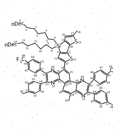 CCCCCCCCCCCCCCCC[Si]1(CCCCCCCCCCCCCCCC)c2cc(C)sc2-c2sc(-c3cc4c(cc(C)c5nc(-c6ccc(C)cc6)c(-c6ccc(C(F)(F)F)cc6)nc54)c4nc(-c5ccc(C)cc5)c(-c5ccc(C(F)(F)F)cc5)nc34)cc21